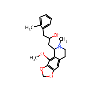 COc1c2c(cc3c1C(CC(O)Cc1ccccc1C)N(C)CC3)OCO2